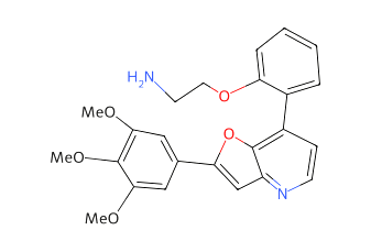 COc1cc(-c2cc3nccc(-c4ccccc4OCCN)c3o2)cc(OC)c1OC